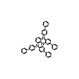 c1ccc(-c2ccc(N3c4ccc(-c5ccccc5)cc4N4c5cc(-c6ccccc6)ccc5N(c5ccc(-c6ccccc6)cc5)c5cccc3c54)cc2)cc1